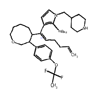 C=CCC/C=C(\c1ccn(CC2CCNCC2)c1CCCC)C1CCCCOCC1c1ccc(OC(C)(F)F)cc1